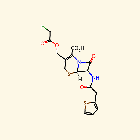 O=C(Cc1cccs1)N[C@@H]1C(=O)N2C(C(=O)O)=C(COC(=O)CF)CS[C@H]12